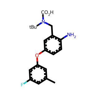 Cc1cc(F)cc(Oc2ccc(N)c(CN(C(=O)O)C(C)(C)C)c2)c1